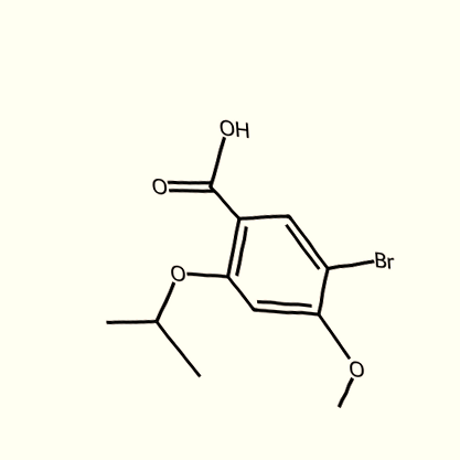 COc1cc(OC(C)C)c(C(=O)O)cc1Br